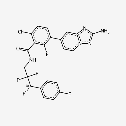 Nc1nc2cc(-c3ccc(Cl)c(C(=O)NCC(F)(F)[C@@H](F)c4ccc(F)cc4)c3F)ccn2n1